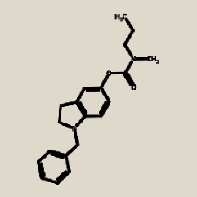 CCCN(C)C(=O)Oc1ccc2c(c1)CCN2Cc1ccccc1